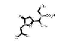 CCC(CC)CN1N=C(C(C)N(CC(C)(C)C)C(=O)O)CC1=O